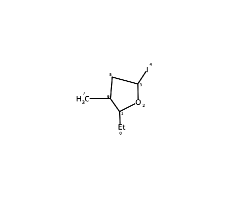 CCC1OC(I)CC1C